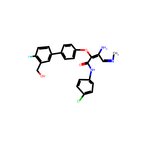 C/N=C\C(N)=C(\Oc1ccc(-c2ccc(F)c(CO)c2)cc1)C(=O)Nc1ccc(Cl)cc1